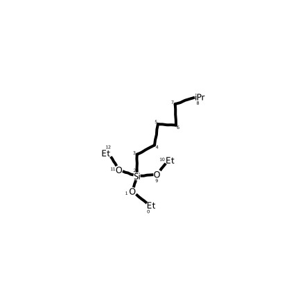 CCO[Si](CCCCCC(C)C)(OCC)OCC